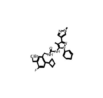 COCc1cc(CNC(=O)Nc2c(C)c(-c3cnn(C)c3)nn2-c2ccccc2)c(C2CCC2)cc1F